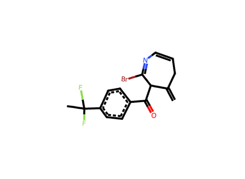 C=C1CC=CN=C(Br)C1C(=O)c1ccc(C(C)(F)F)cc1